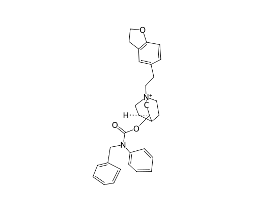 O=C(O[C@H]1C[N+]2(CCc3ccc4c(c3)CCO4)CCC1CC2)N(Cc1ccccc1)c1ccccc1